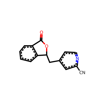 N#Cc1cc(CC2OC(=O)c3ccccc32)ccn1